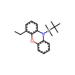 CCc1cccc2c1Oc1ccccc1N2[Si](C)(C)C(C)(C)C